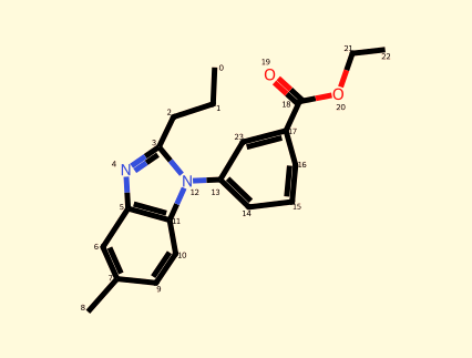 CCCc1nc2cc(C)ccc2n1-c1cccc(C(=O)OCC)c1